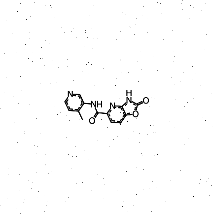 Cc1ccncc1NC(=O)c1ccc2oc(=O)[nH]c2n1